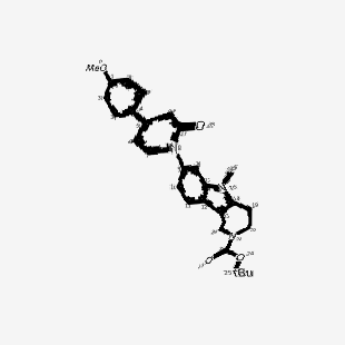 COc1ccc(-c2ccn(-c3ccc4c5c(n(C)c4c3)CCN(C(=O)OC(C)(C)C)C5)c(=O)c2)cc1